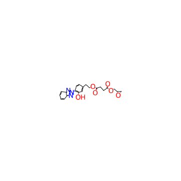 O=C(CCC(=O)OCC1CO1)OCCc1ccc(-n2nc3ccccc3n2)c(O)c1